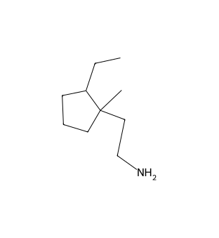 CCC1CCCC1(C)CCN